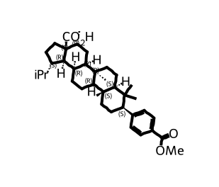 COC(=O)c1ccc([C@H]2CC[C@]3(C)[C@@H]4CC[C@H]5[C@H]6[C@H](C(C)C)CC[C@]6(C(=O)O)[C@H](C)C[C@H]5[C@@]4(C)CC[C@H]3C2(C)C)cc1